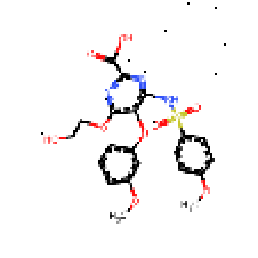 COc1ccc(S(=O)(=O)Nc2nc(C(=O)O)nc(OCCO)c2Oc2cccc(OC)c2)cc1